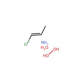 CC=CCl.N.O.OO